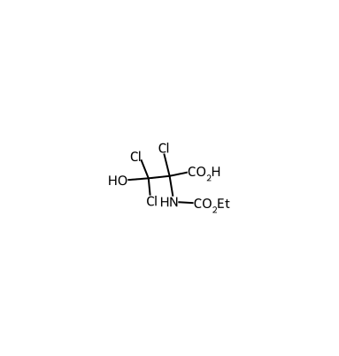 CCOC(=O)NC(Cl)(C(=O)O)C(O)(Cl)Cl